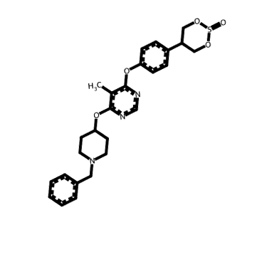 Cc1c(Oc2ccc(C3COS(=O)OC3)cc2)ncnc1OC1CCN(Cc2ccccc2)CC1